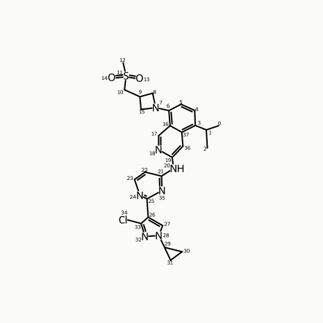 CC(C)c1ccc(N2CC(CS(C)(=O)=O)C2)c2cnc(Nc3ccnc(-c4cn(C5CC5)nc4Cl)n3)cc12